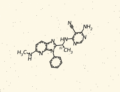 CNc1ccc2nc([C@H](C)Nc3ncnc(N)c3C#N)n(-c3ccccc3)c2n1